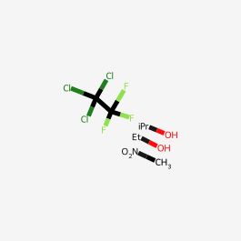 CC(C)O.CCO.C[N+](=O)[O-].FC(F)(F)C(Cl)(Cl)Cl